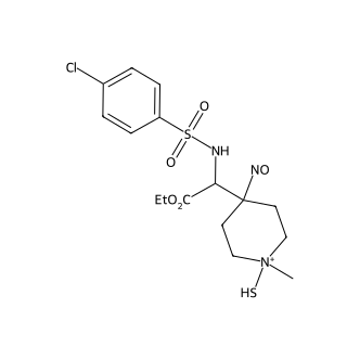 CCOC(=O)C(NS(=O)(=O)c1ccc(Cl)cc1)C1(N=O)CC[N+](C)(S)CC1